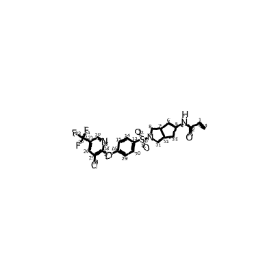 C=CC(=O)NC1CC2CN(S(=O)(=O)c3ccc(Oc4ncc(C(F)(F)F)cc4Cl)cc3)CC2C1